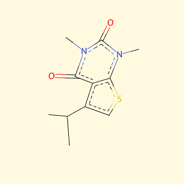 CC(C)c1csc2c1c(=O)n(C)c(=O)n2C